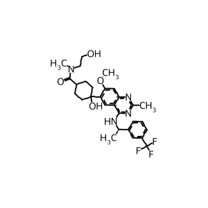 COc1cc2nc(C)nc(N[C@H](C)c3cccc(C(F)(F)F)c3)c2cc1C1(O)CCC(C(=O)N(C)CCO)CC1